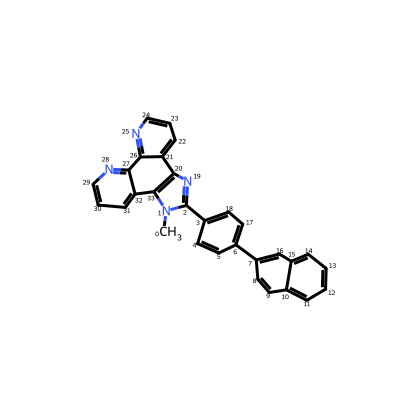 Cn1c(-c2ccc(-c3ccc4ccccc4c3)cc2)nc2c3cccnc3c3ncccc3c21